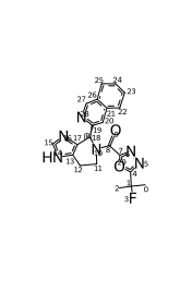 CC(C)(F)c1nnc(C(=O)N2CCc3[nH]cnc3[C@H]2c2cc3ccccc3cn2)o1